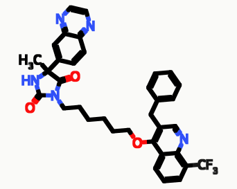 CC1(c2ccc3nccnc3c2)NC(=O)N(CCCCCCOc2c(Cc3ccccc3)cnc3c(C(F)(F)F)cccc23)C1=O